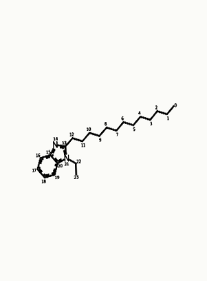 CCCCCCCCCCCCCc1nc2ccccc2n1CC